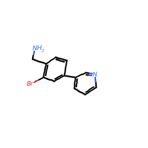 NCc1ccc(-c2cccnc2)cc1Br